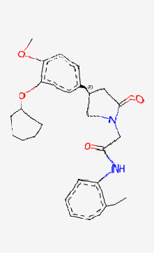 COc1ccc([C@H]2CC(=O)N(CC(=O)Nc3ccccc3C)C2)cc1OC1CCCC1